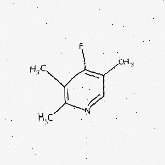 Cc1cnc(C)c(C)c1F